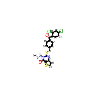 Cn1c(SCc2ccc(C(=O)c3ccc(Cl)cc3Cl)cc2)nc2ccsc2c1=O